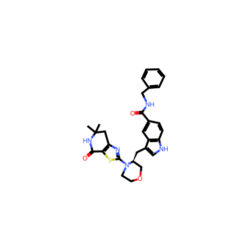 CC1(C)Cc2nc(N3CCOC[C@@H]3Cc3c[nH]c4ccc(C(=O)NCc5ccccc5)cc34)sc2C(=O)N1